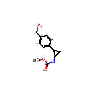 CC(C)(C)OC(=O)NC1CC1c1ccc(CO)cc1